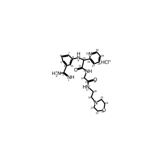 Cl.N=C(N)c1cccc(NC(C(=O)NCC(=O)NCCN2CCOCC2)c2ccccn2)c1